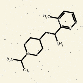 Cc1cccnc1C(C)CC1CCN(C(C)C)CC1